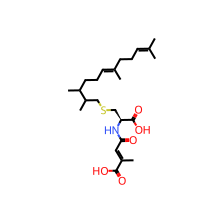 CC(C)=CCC/C(C)=C/CCC(C)C(C)CSC[C@H](NC(=O)/C=C(\C)C(=O)O)C(=O)O